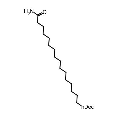 CCCCCCCCCCCCCCCCCCCCCCCCCC(N)=O